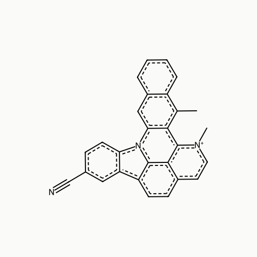 Cc1c2ccccc2cc2c1c1c3c(ccc4c5cc(C#N)ccc5n2c43)cc[n+]1C